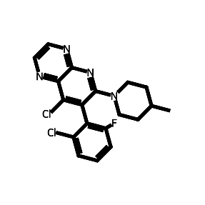 CC1CCN(c2nc3nccnc3c(Cl)c2-c2c(F)cccc2Cl)CC1